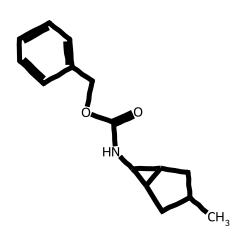 CC1CC2C(C1)C2NC(=O)OCc1ccccc1